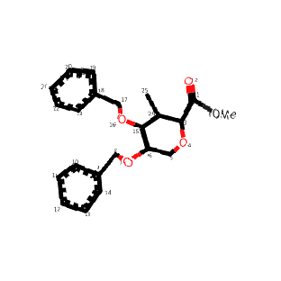 COC(=O)C1OCC(OCc2ccccc2)C(OCc2ccccc2)C1C